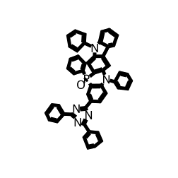 O=P1(c2ccccc2)c2cc(-c3nc(-c4ccccc4)nc(-c4ccccc4)n3)ccc2N(c2ccccc2)c2cc3c4ccccc4n(-c4ccccc4)c3cc21